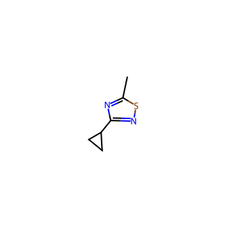 Cc1nc(C2CC2)ns1